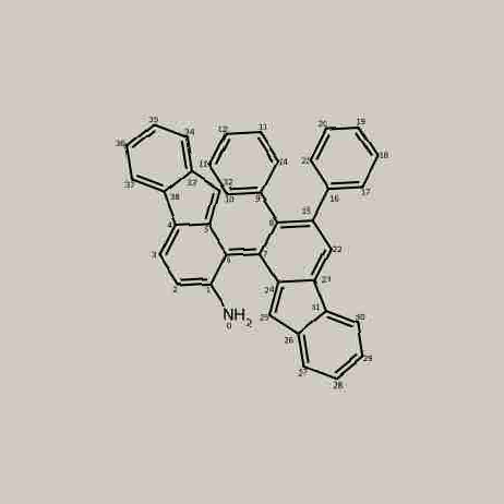 Nc1ccc2c(c1=c1c(-c3ccccc3)c(-c3ccccc3)cc3c1=Cc1ccccc1-3)=Cc1ccccc1-2